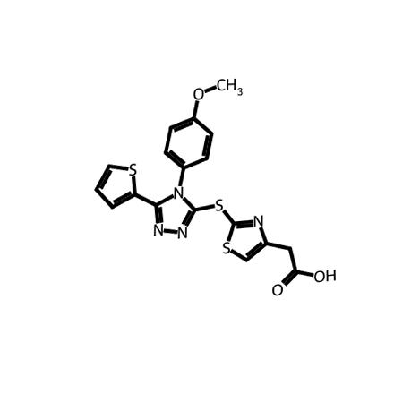 COc1ccc(-n2c(Sc3nc(CC(=O)O)cs3)nnc2-c2cccs2)cc1